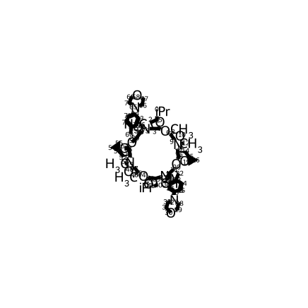 CC(C)CC[C@H]1C(=O)O[C@H](C)C(=O)N(C)[C@@H](CC2CC2)C(=O)O[C@H](Cc2ccc(N3CCOCC3)cc2)C(=O)N(C)[C@@H](CC(C)C)C(=O)O[C@H](C)C(=O)N(C)[C@@H](CC2CC2)C(=O)O[C@H](Cc2ccc(N3CCOCC3)cc2)C(=O)N1C